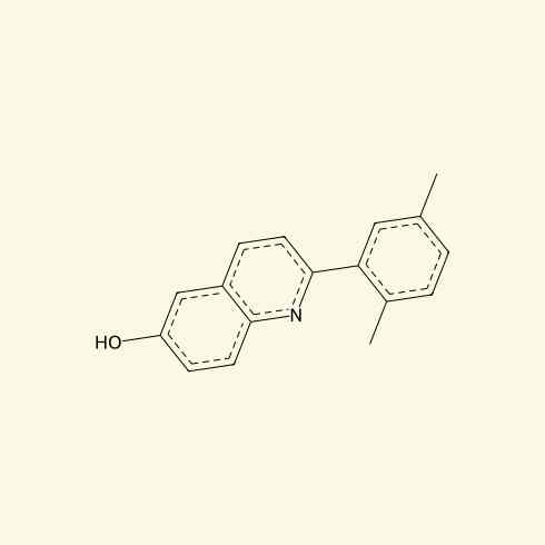 Cc1ccc(C)c(-c2ccc3cc(O)ccc3n2)c1